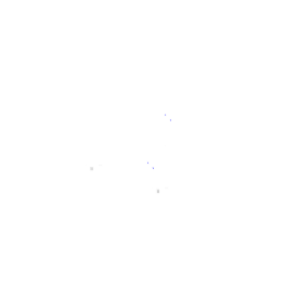 CCCc1cc[nH]c(=O)[n+]1CCC.[Cl-]